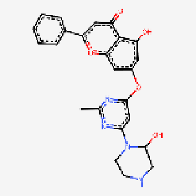 Cc1nc(Oc2cc(O)c3c(=O)cc(-c4ccccc4)oc3c2)cc(N2CCNCC2O)n1